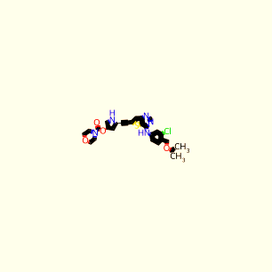 CC(C)OCc1ccc(Nc2ncnc3cc(C#C[C@@H]4C[C@@H](OC(=O)N5CCOCC5)CN4)sc23)cc1Cl